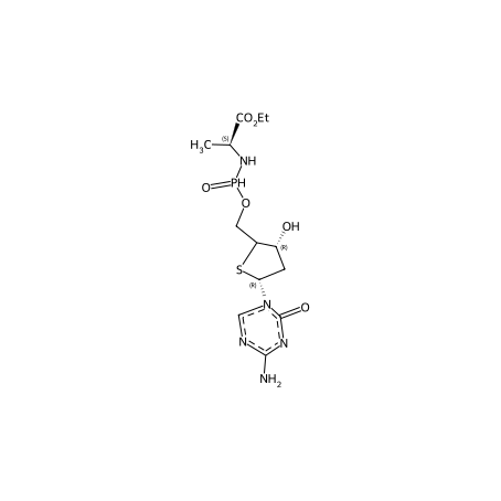 CCOC(=O)[C@H](C)N[PH](=O)OCC1S[C@@H](n2cnc(N)nc2=O)C[C@H]1O